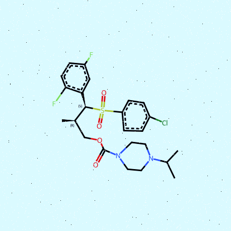 CC(C)N1CCN(C(=O)OC[C@@H](C)[C@@H](c2cc(F)ccc2F)S(=O)(=O)c2ccc(Cl)cc2)CC1